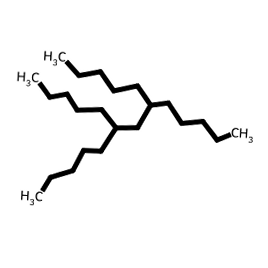 CCCCCC(CCCCC)CC(CCCCC)CCCCC